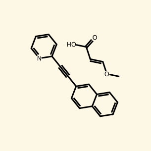 C(#Cc1ccccn1)c1ccc2ccccc2c1.COC=CC(=O)O